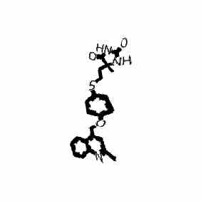 Cc1cc(COc2ccc(SCCC3(C)NC(=O)NC3=O)cc2)c2ccccc2n1